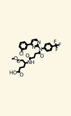 COOCC(CCC(=O)O)NC(=O)CCC(=O)N(c1ccc(C(F)(F)F)cc1)c1nccc(-c2cccc(Cl)c2)n1